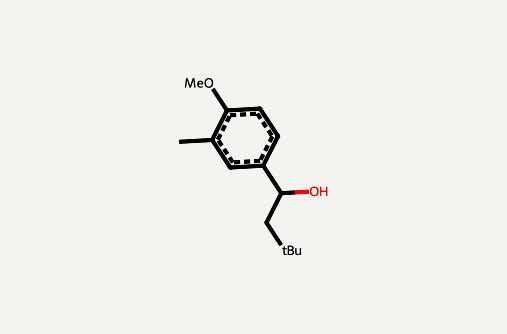 COc1ccc(C(O)CC(C)(C)C)cc1C